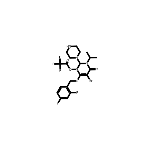 CC(C)N1C(=O)C(Br)=C(OCc2ccc(F)cc2F)N(OC(=O)C(F)(F)F)C1N1CCNCC1